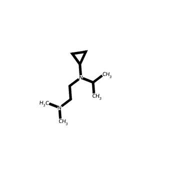 CC(C)N(CCN(C)C)C1CC1